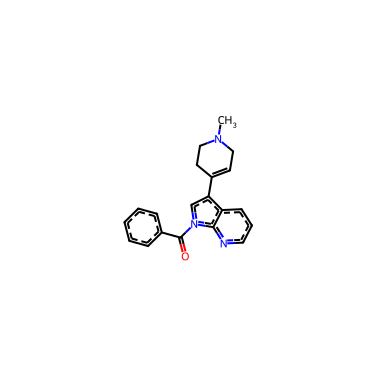 CN1CC=C(c2cn(C(=O)c3ccccc3)c3ncccc23)CC1